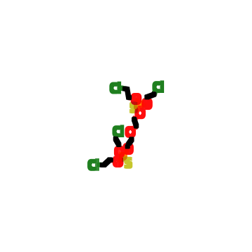 S=P(OCCCl)(OCCCl)OCCOCCOP(=S)(OCCCl)OCCCl